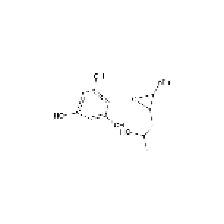 CCCCC1OC1CC(C)O.Oc1cc(O)cc(O)c1